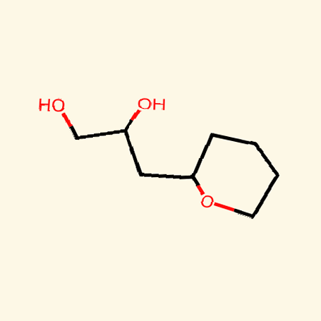 OCC(O)CC1CCCCO1